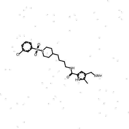 CNCc1cc(C(=O)NCCCCC2CCN(S(=O)(=O)c3cccc(Cl)c3)CC2)[nH]c1C